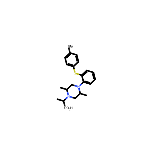 CC1CN(C(C)C(=O)O)C(C)CN1c1ccccc1Sc1ccc(C(C)(C)C)cc1